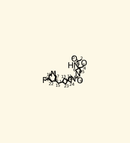 O=C1COCC2(CN(C(=O)N3CC4(CC(Cc5cncc(F)c5)C4)C3)C2)N1